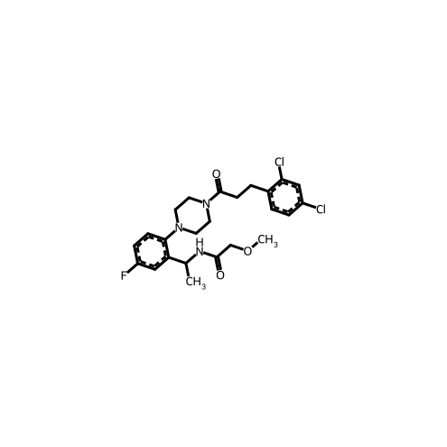 COCC(=O)NC(C)c1cc(F)ccc1N1CCN(C(=O)CCc2ccc(Cl)cc2Cl)CC1